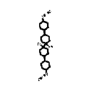 CCCC1(C2(CC)CCC(C3CCC(N=C=S)CC3)CC2)CCC(C2CCC(N=C=S)CC2)CC1